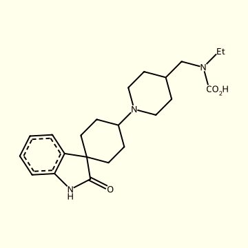 CCN(CC1CCN(C2CCC3(CC2)C(=O)Nc2ccccc23)CC1)C(=O)O